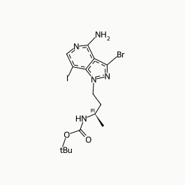 C[C@H](CCn1nc(Br)c2c(N)ncc(I)c21)NC(=O)OC(C)(C)C